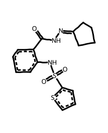 O=C(NN=C1CCCC1)c1ccccc1NS(=O)(=O)c1cccs1